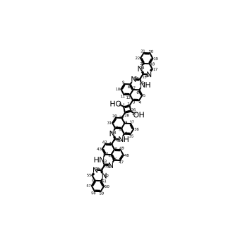 OC1=C(c2ccc3c4c(cccc24)N=C(c2ncc4ccccc4n2)N3)C(O)=C1C1C=CC2=C3C(=CC=CC31)NC(c1ccc3c4c(cccc14)N=C(c1ncc4ccccc4n1)N3)=N2